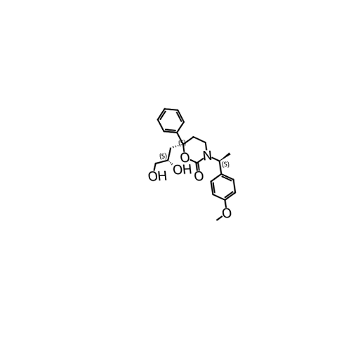 COc1ccc([C@H](C)N2CC[C@](C[C@H](O)CO)(c3ccccc3)OC2=O)cc1